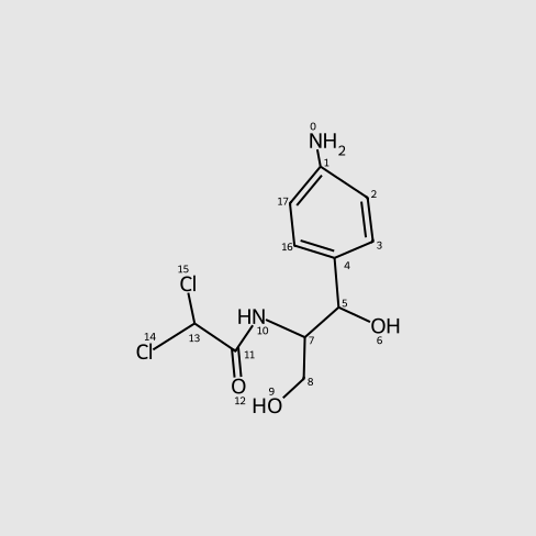 Nc1ccc(C(O)C(CO)NC(=O)C(Cl)Cl)cc1